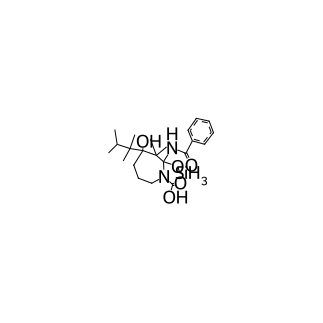 CC(C)C(C)(C)C1(O)CCCN(C(=O)O)C(NC(=O)c2ccccc2)(O[SiH3])C1(C)C